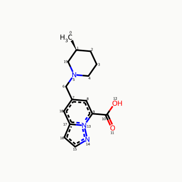 C[C@H]1CCCN(Cc2cc(C(=O)O)n3nccc3c2)C1